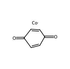 O=C1C=CC(=O)C=C1.[Co]